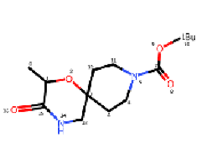 CC1OC2(CCN(C(=O)OC(C)(C)C)CC2)CNC1=O